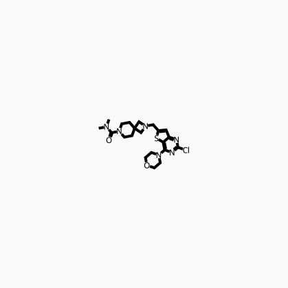 CN(C)C(=O)N1CCC2(CC1)CN(Cc1cc3nc(Cl)nc(N4CCOCC4)c3s1)C2